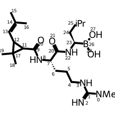 CNC(=N)NCCC[C@H](NC(=O)C1C(C=C(C)C)C1(C)C)C(=O)N[C@@H](CC(C)C)B(O)O